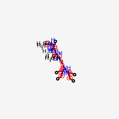 CC(C)CC(NC(=O)C(Cc1ccccc1)NC(=O)CNC(=O)OC(C)(C)C)C(=O)NCC(=O)NC(CCC(=O)NCCOCCOCC(=O)NC(CCC(=O)NC(CCC(=O)OCc1ccccc1)C(=O)OCc1ccccc1)C(=O)NC(CCC(=O)OCc1ccccc1)C(=O)OCc1ccccc1)C(=O)OC(C)(C)C